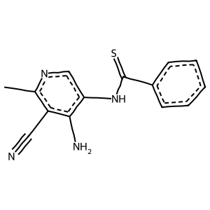 Cc1ncc(NC(=S)c2ccccc2)c(N)c1C#N